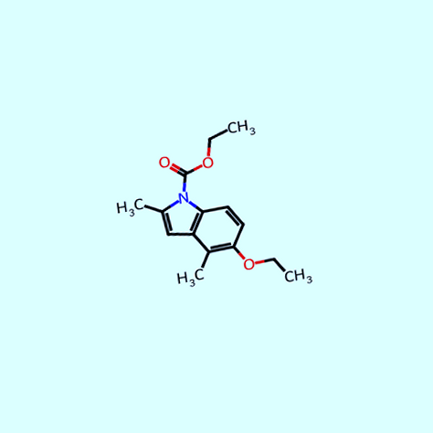 CCOC(=O)n1c(C)cc2c(C)c(OCC)ccc21